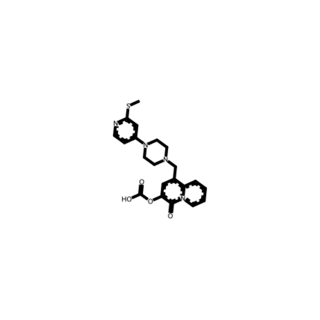 CSc1cc(N2CCN(Cc3cc(OC(=O)O)c(=O)n4ccccc34)CC2)ccn1